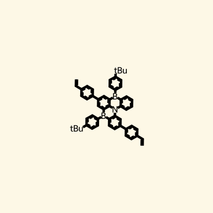 C=Cc1ccc(-c2cc3c4c(c2)B(c2ccc(C(C)(C)C)cc2)c2ccc(-c5ccc(C=C)cc5)cc2N4c2ccccc2B3c2ccc(C(C)(C)C)cc2)cc1